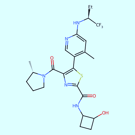 CC[C@H](Nc1cc(C)c(-c2sc(C(=O)NC3CCC3O)nc2C(=O)N2CCC[C@@H]2C)cn1)C(F)(F)F